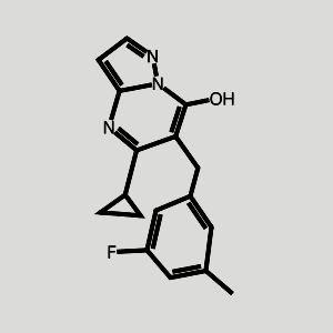 Cc1cc(F)cc(Cc2c(C3CC3)nc3ccnn3c2O)c1